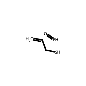 C=CCS.O=P